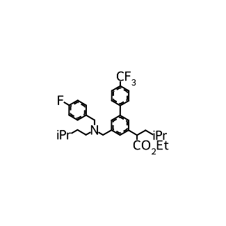 CCOC(=O)C(CC(C)C)c1cc(CN(CCC(C)C)Cc2ccc(F)cc2)cc(-c2ccc(C(F)(F)F)cc2)c1